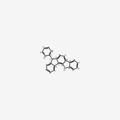 c1cnc(-n2c3ccccc3c3c4oc5ccccc5c4ccc32)nc1